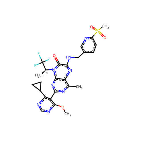 COc1ncnc(C2CC2)c1-c1nc(C)c2nc(NCc3ccc(S(C)(=O)=O)nc3)c(=O)n([C@@H](C)C(F)(F)F)c2n1